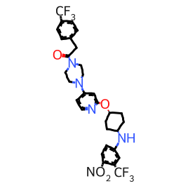 O=C(Cc1ccc(C(F)(F)F)cc1)N1CCN(c2ccnc(O[C@H]3CC[C@H](Nc4ccc([N+](=O)[O-])c(C(F)(F)F)c4)CC3)c2)CC1